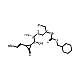 CCCCC=CC1C(=O)C1[C@H](O)[C@H](CCCC)NC[C@@H](CC(C)C)NC(=O)OCC1CCCCC1